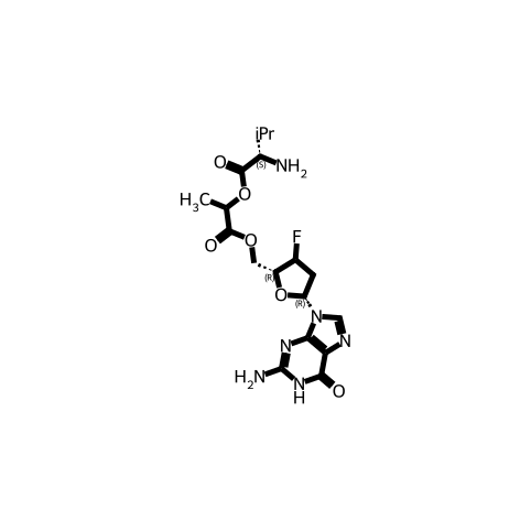 CC(OC(=O)[C@@H](N)C(C)C)C(=O)OC[C@H]1O[C@@H](n2cnc3c(=O)[nH]c(N)nc32)CC1F